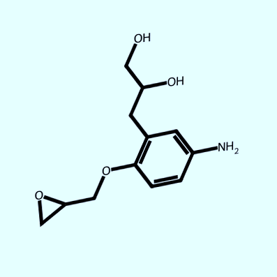 Nc1ccc(OCC2CO2)c(CC(O)CO)c1